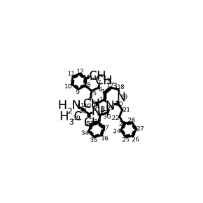 C=C(N[C@H](CC(CC)c1ccccc1C)C1=C=CCN=C(CCc2ccccc2)N1CCc1ccccc1)C(C)(C)N